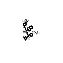 CCOC(=O)c1ccc2[nH]c(-c3cc(C)cc(C)c3)c(CCNC(CCCc3ccc(NS(C)(=O)=O)cc3)C(=O)OCc3ccccc3)c2c1